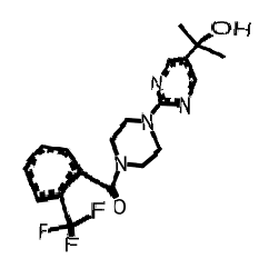 CC(C)(O)c1cnc(N2CCN(C(=O)c3ccccc3C(F)(F)F)CC2)nc1